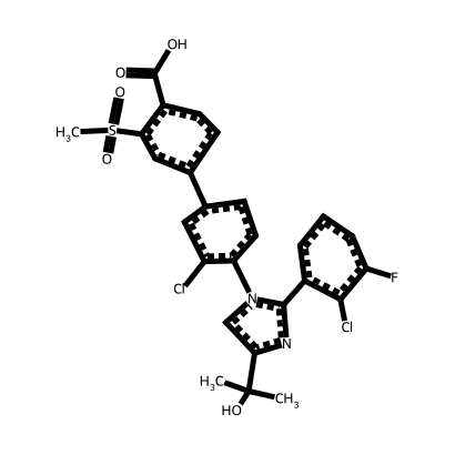 CC(C)(O)c1cn(-c2ccc(-c3ccc(C(=O)O)c(S(C)(=O)=O)c3)cc2Cl)c(-c2cccc(F)c2Cl)n1